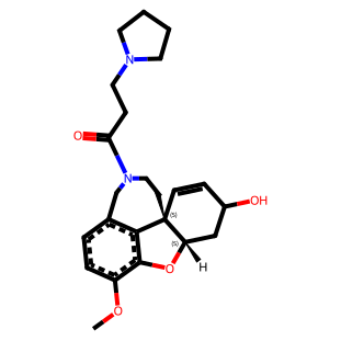 COc1ccc2c3c1O[C@H]1CC(O)C=C[C@@]31CCN(C(=O)CCN1CCCC1)C2